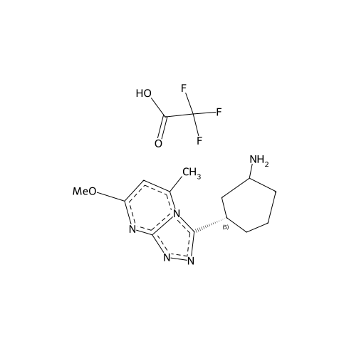 COc1cc(C)n2c([C@H]3CCCC(N)C3)nnc2n1.O=C(O)C(F)(F)F